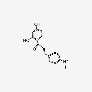 CN(C)c1ccc(C=CC(=O)c2ccc(O)cc2O)cc1